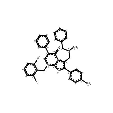 CN(Cc1ccccc1)Cc1c(-c2ccc(N)cc2)nc2n(Cc3c(F)cccc3F)cc(-c3ccccc3)c(=O)n12